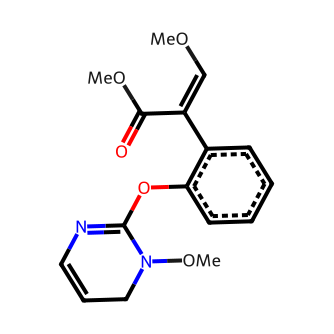 COC=C(C(=O)OC)c1ccccc1OC1=NC=CCN1OC